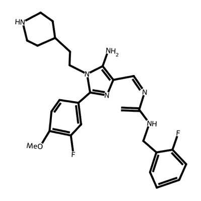 C=C(/N=C\c1nc(-c2ccc(OC)c(F)c2)n(CCC2CCNCC2)c1N)NCc1ccccc1F